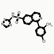 Cc1cc(Cl)ccc1-c1nccc2cc(S(=O)(=O)Nc3ncns3)ccc12